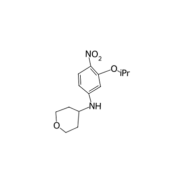 CC(C)Oc1cc(NC2CCOCC2)ccc1[N+](=O)[O-]